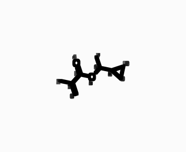 C=C(C)C(=O)OC(C)C1CC1